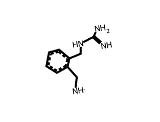 [NH]Cc1ccccc1CNC(=N)N